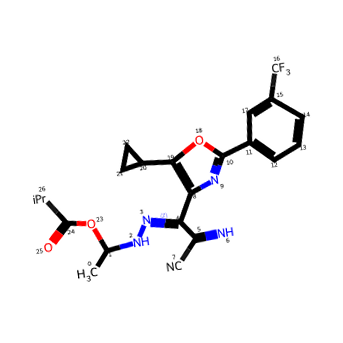 CC(N/N=C(\C(=N)C#N)c1nc(-c2cccc(C(F)(F)F)c2)oc1C1CC1)OC(=O)C(C)C